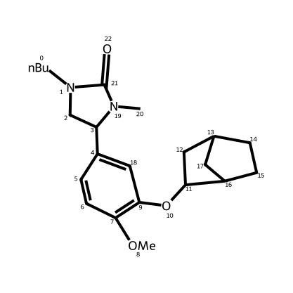 CCCCN1CC(c2ccc(OC)c(OC3CC4CCC3C4)c2)N(C)C1=O